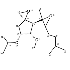 CO[C@H]1[C@H](C2(C)OC2CCC(C)C)[C@@]2(CO2)C[C@H]1OC(C)C